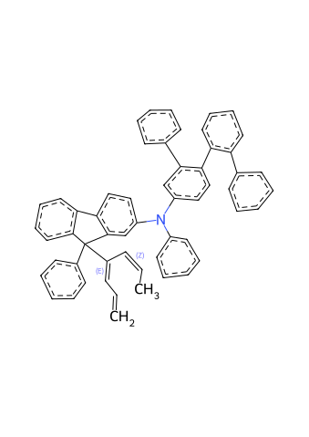 C=C/C=C(\C=C/C)C1(c2ccccc2)c2ccccc2-c2ccc(N(c3ccccc3)c3ccc(-c4ccccc4-c4ccccc4)c(-c4ccccc4)c3)cc21